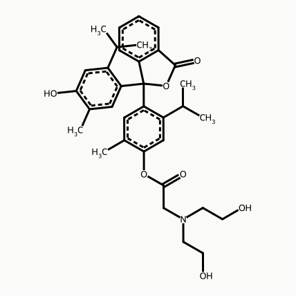 Cc1cc(C2(c3cc(C)c(OC(=O)CN(CCO)CCO)cc3C(C)C)OC(=O)c3ccccc32)c(C(C)C)cc1O